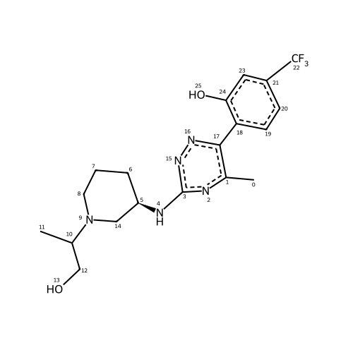 Cc1nc(N[C@@H]2CCCN(C(C)CO)C2)nnc1-c1ccc(C(F)(F)F)cc1O